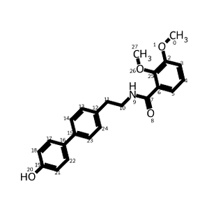 COc1cccc(C(=O)NCCc2ccc(-c3ccc(O)cc3)cc2)c1OC